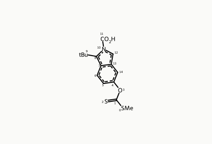 CSC(=S)Oc1ccc2c(C(C)(C)C)n(C(=O)O)cc2c1